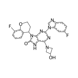 O=c1[nH]c2c(N3CC(O)C3)nc(-n3cnc4ccc(F)cc43)nc2n1C1CCOc2c(F)cccc21